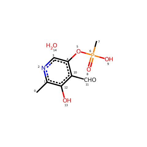 Cc1ncc(OP(C)(=O)O)c(C=O)c1O.O